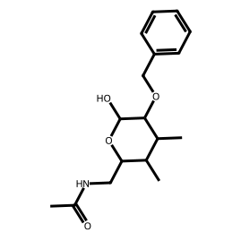 CC(=O)NCC1OC(O)C(OCc2ccccc2)C(C)C1C